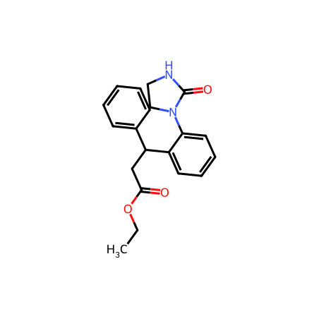 CCOC(=O)CC(c1ccccc1)c1ccccc1N1CCNC1=O